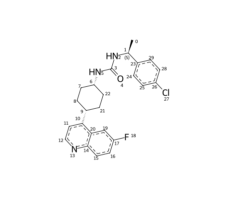 C[C@H](NC(=O)N[C@H]1CC[C@@H](c2ccnc3ccc(F)cc32)CC1)c1ccc(Cl)cc1